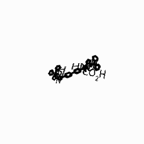 O=C(O)c1nc([C@@H]2CCCN2C(=O)C(c2ccccc2)N2CCCCC2)[nH]c1-c1ccc(-c2ccc(-c3cnc([C@@H]4CCCN4C(=O)[C@@H](c4ccccc4)N4CCCCC4)[nH]3)cc2)cc1